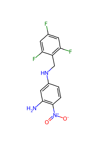 Nc1cc(NCc2c(F)cc(F)cc2F)ccc1[N+](=O)[O-]